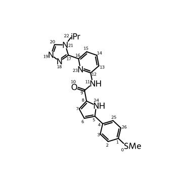 CSc1ccc(-c2ccc(C(=O)Nc3cccc(-c4nncn4C(C)C)n3)[nH]2)cc1